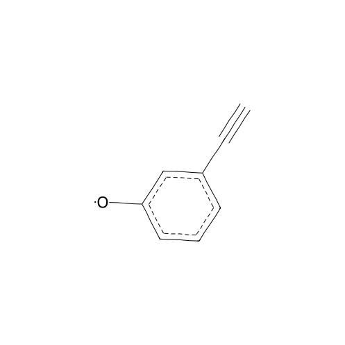 C#Cc1cccc([O])c1